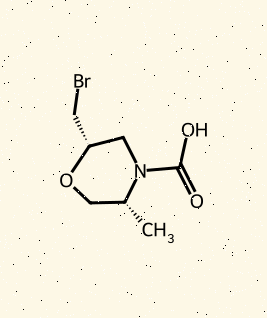 C[C@@H]1CO[C@H](CBr)CN1C(=O)O